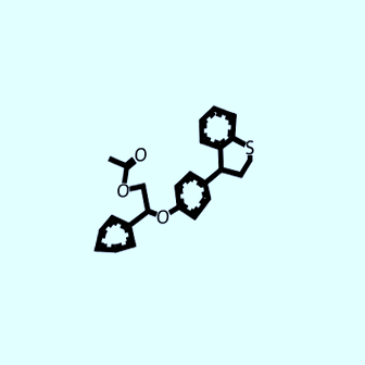 CC(=O)OCC(Oc1ccc(C2CCSc3ccccc32)cc1)c1ccccc1